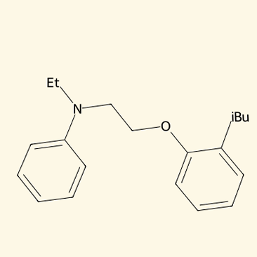 CCC(C)c1ccccc1OCCN(CC)c1ccccc1